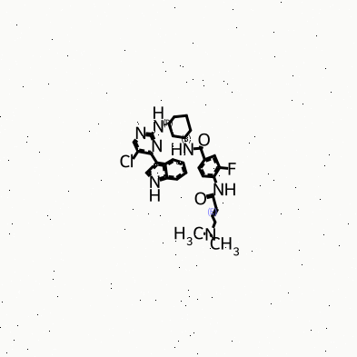 CN(C)C/C=C/C(=O)Nc1ccc(C(=O)N[C@H]2CCC[C@@H](Nc3ncc(Cl)c(-c4c[nH]c5ccccc45)n3)C2)cc1F